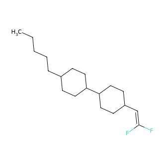 CCCCCC1CCC(C2CCC(C=C(F)F)CC2)CC1